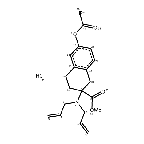 C=CCN(CC=C)C1(C(=O)OC)CCc2cc(OC(=O)C(C)C)ccc2C1.Cl